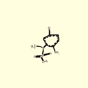 CN(c1cc(Cl)ccc1[N+](=O)[O-])S(C)(=O)=O